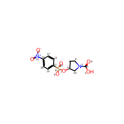 O=C(O)N1CC[C@H](OS(=O)(=O)c2ccc([N+](=O)[O-])cc2)C1